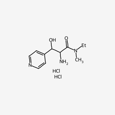 CCN(C)C(=O)C(N)C(O)c1ccncc1.Cl.Cl